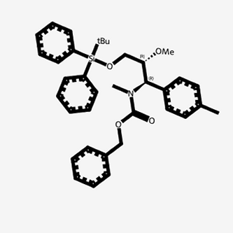 CO[C@@H](CO[Si](c1ccccc1)(c1ccccc1)C(C)(C)C)[C@@H](c1ccc(C)cc1)N(C)C(=O)OCc1ccccc1